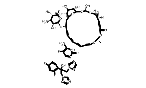 C[C@@H]1C/C=C/C=C/C=C/C=C/[C@H](O[C@@H]2O[C@H](C)[C@@H](O)[C@H](N)[C@@H]2O)C[C@@H]2O[C@](O)(C[C@@H](O)C[C@H]3O[C@@H]3/C=C/C(=O)O1)C[C@H](O)[C@H]2C(=O)O.Nc1[nH]c(=O)ncc1F.OC(Cn1cncn1)(Cn1cncn1)c1ccc(F)cc1F